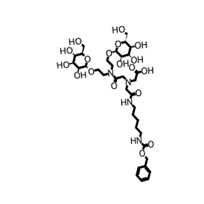 O=C(O)CN(CC(=O)NCCCCCNC(=O)OCc1ccccc1)CC(=O)N(CCO[C@H]1O[C@H](CO)[C@@H](O)[C@H](O)[C@@H]1O)CCO[C@H]1O[C@H](CO)[C@@H](O)[C@H](O)[C@@H]1O